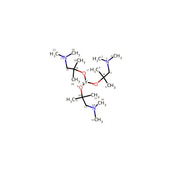 CN(C)CC(C)(C)[O][Y]([O]C(C)(C)CN(C)C)[O]C(C)(C)CN(C)C